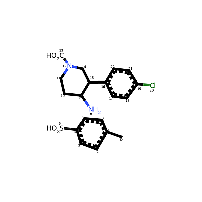 Cc1ccc(S(=O)(=O)O)cc1.NC1CCN(C(=O)O)CC1c1ccc(Cl)cc1